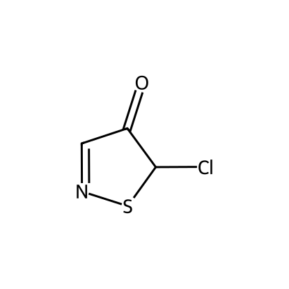 O=C1C=NSC1Cl